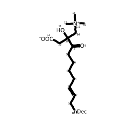 CCCCCCCCCCCC=CCCCCC(=O)C(O)(CC(=O)[O-])C[N+](C)(C)C